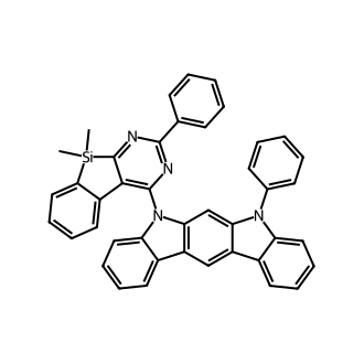 C[Si]1(C)c2ccccc2-c2c(-n3c4ccccc4c4cc5c6ccccc6n(-c6ccccc6)c5cc43)nc(-c3ccccc3)nc21